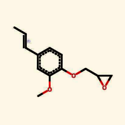 C/C=C/c1ccc(OCC2CO2)c(OC)c1